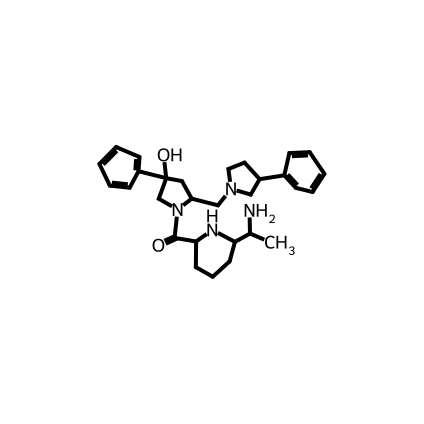 CC(N)C1CCCC(C(=O)N2CC(O)(c3ccccc3)CC2CN2CCC(c3ccccc3)C2)N1